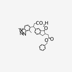 Cc1c(C(CC(=O)O)c2ccc3c(c2)C(=O)C(CC(=O)OCc2ccccc2)C3)ccc2c1nnn2C